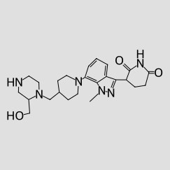 Cn1nc(C2CCC(=O)NC2=O)c2cccc(N3CCC(CN4CCNCC4CO)CC3)c21